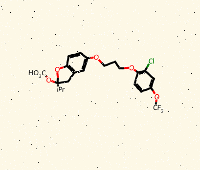 CC(C)[C@]1(OC(=O)O)Cc2cc(OCCCOc3ccc(OC(F)(F)F)cc3Cl)ccc2O1